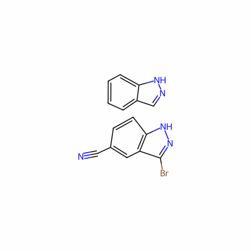 N#Cc1ccc2[nH]nc(Br)c2c1.c1ccc2[nH]ncc2c1